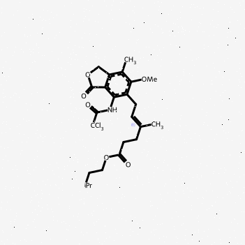 COc1c(C)c2c(c(NC(=O)C(Cl)(Cl)Cl)c1C/C=C(\C)CCC(=O)OCCC(C)C)C(=O)OC2